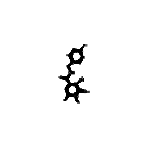 Cc1cc(C(=O)NCc2ccc(F)cc2)c(O)c(=O)n1C